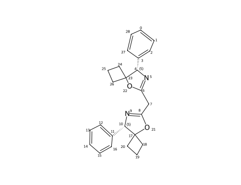 c1ccc([C@@H]2N=C(CC3=N[C@@H](c4ccccc4)C4(CCC4)O3)OC23CCC3)cc1